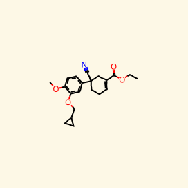 CCOC(=O)C1=CCCC(C#N)(c2ccc(OC)c(OCC3CC3)c2)C1